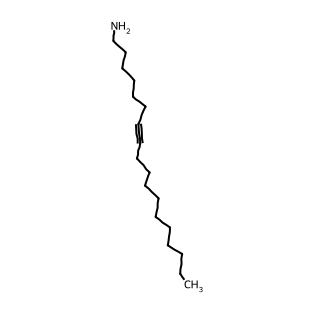 CCCCCCCCCCC#CCCCCCCN